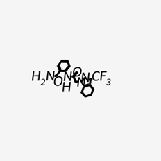 NC(=O)c1ccccc1NC(=O)Cn1nc(C(F)(F)F)c2c1CCCC2